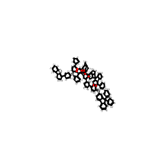 c1ccc(-c2ccc(N(c3ccc(-c4cccc5c4oc4ccccc45)cc3)c3ccccc3-c3cccc4c3-c3cc(-c5cccc(-c6ccc(N(c7ccc8c(c7)C(c7ccccc7)(c7ccccc7)c7ccccc7-8)c7ccccc7-c7cccc8c7-c7ccccc7C87C8CC9CC%10CC7C8(C9)C%10)cc6)c5)ccc3C43C4CC5CC3C3CC3(C5)C4)cc2)cc1